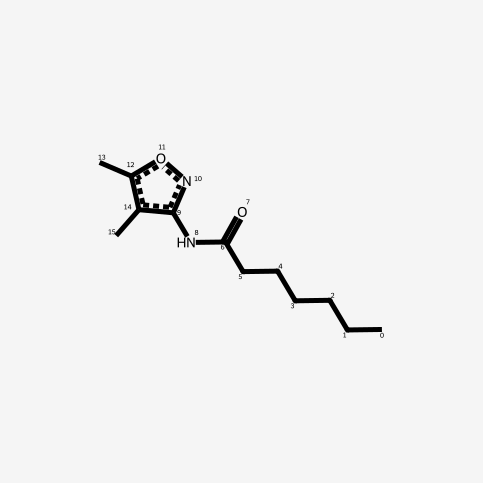 CCCCCCC(=O)Nc1noc(C)c1C